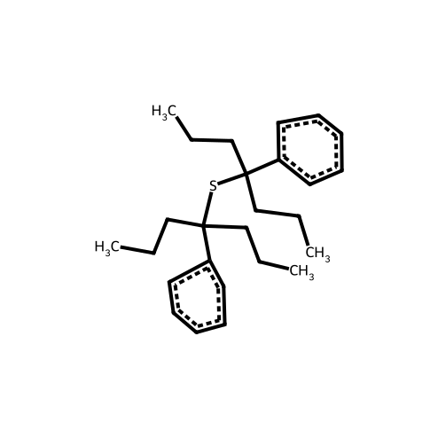 CCCC(CCC)(SC(CCC)(CCC)c1ccccc1)c1ccccc1